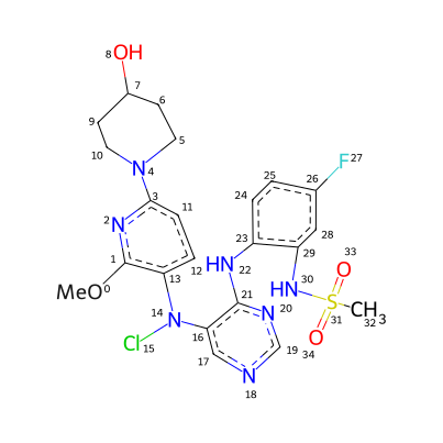 COc1nc(N2CCC(O)CC2)ccc1N(Cl)c1cncnc1Nc1ccc(F)cc1NS(C)(=O)=O